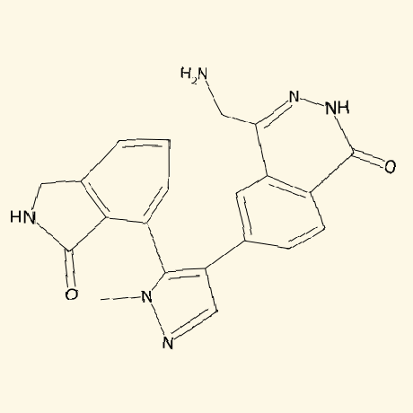 Cn1ncc(-c2ccc3c(=O)[nH]nc(CN)c3c2)c1-c1cccc2c1C(=O)NC2